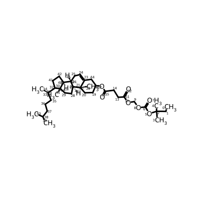 CCC(C)(C)OC(=O)OCOC(=O)CCC(=O)O[C@H]1CC[C@@]2(C)C(=CC[C@@H]3[C@@H]2CC[C@]2(C)C([C@H](C)CCCC(C)C)CC[C@@H]32)C1